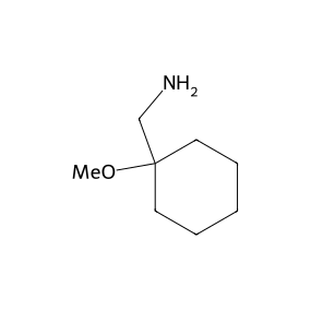 COC1(CN)CCCCC1